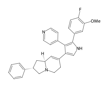 COc1cc(-c2[nH]cc(C3=C[C@@H]4C[C@@H](c5ccccc5)CN4CC3)c2-c2ccncc2)ccc1F